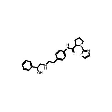 O=C(Nc1ccc(CCNCC(O)c2ccccc2)cc1)C1CCCN1c1nccs1